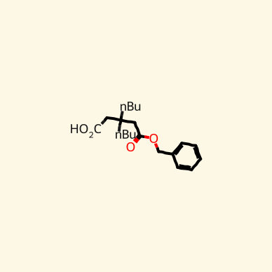 CCCCC(CCCC)(CC(=O)O)CC(=O)OCc1ccccc1